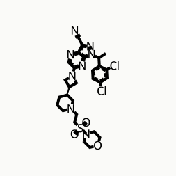 CC(c1ccc(Cl)cc1Cl)n1nc(C#N)c2ncc(N3CC([C@@H]4CCCN(CCS(=O)(=O)N5CCOCC5)C4)C3)nc21